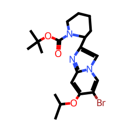 CC(C)Oc1cc2nc(C3CCCCN3C(=O)OC(C)(C)C)cn2cc1Br